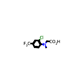 CN(CC(=O)O)c1ccc(C(F)(F)F)cc1Cl